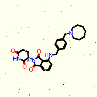 O=C1CC[C@@H](N2C(=O)c3cccc(NCc4ccc(CN5CCCCCCC5)cc4)c3C2=O)C(=O)N1